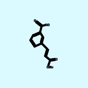 COC(=O)/C=C/c1cccc(C(=O)N=O)c1